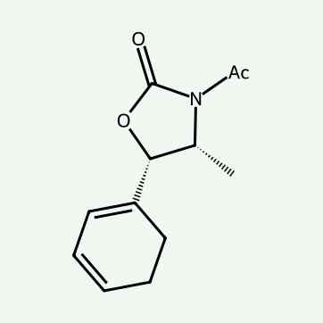 CC(=O)N1C(=O)O[C@@H](C2=CC=CCC2)[C@H]1C